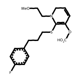 COCCN1CC=CC(OC(=O)O)=C1SCCCc1ccc(F)cc1